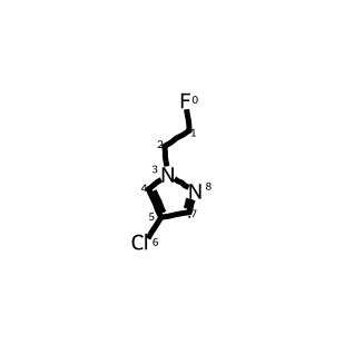 FCCn1[c]c(Cl)[c]n1